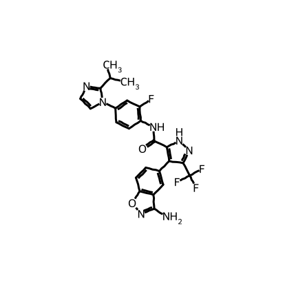 CC(C)c1nccn1-c1ccc(NC(=O)c2[nH]nc(C(F)(F)F)c2-c2ccc3onc(N)c3c2)c(F)c1